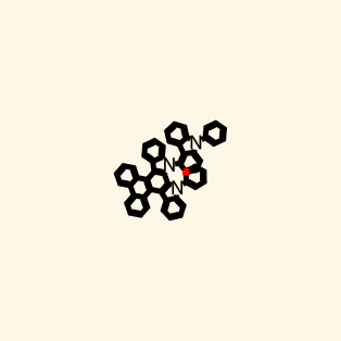 c1ccc(-n2c3ccccc3c3c(-n4c5ccccc5c5c6c7ccccc7c7ccccc7c6c6c7ccccc7n(-c7ccccc7)c6c54)cccc32)cc1